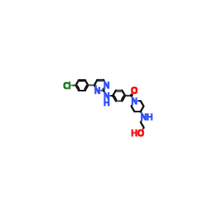 O=C(c1ccc(Nc2nccc(-c3ccc(Cl)cc3)n2)cc1)N1CCC(NCCO)CC1